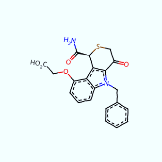 NC(=O)[C@H]1SCC(=O)c2c1c1c(OCC(=O)O)cccc1n2Cc1ccccc1